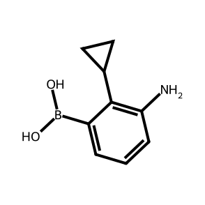 Nc1cccc(B(O)O)c1C1CC1